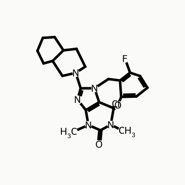 Cn1c(=O)c2c(nc(N3CCC4CCCCC4C3)n2Cc2c(F)cccc2Cl)n(C)c1=O